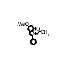 COc1ccc2c(c1)cc(-c1ccccc1)n2CC(C)O